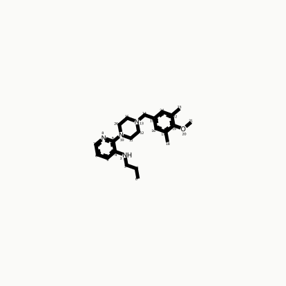 CCCNc1cccnc1N1CCN(Cc2cc(C)c(OC)c(C)c2)CC1